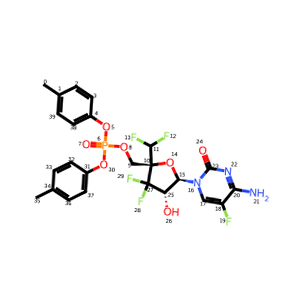 Cc1ccc(OP(=O)(OC[C@@]2(C(F)F)O[C@@H](n3cc(F)c(N)nc3=O)[C@H](O)C2(F)F)Oc2ccc(C)cc2)cc1